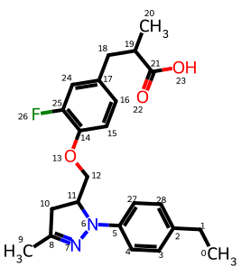 CCc1ccc(N2N=C(C)CC2COc2ccc(CC(C)C(=O)O)cc2F)cc1